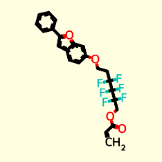 C=CC(=O)OCC(F)(F)C(F)(F)C(F)(F)CCOc1ccc2cc(-c3ccccc3)oc2c1